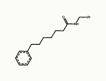 CC(C)CNC(=O)CCCCCCc1ccccc1